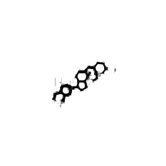 CC12CC=C3C=C4CCC(=O)C[C@]45CC[C@]3(O5)C1CCC2c1ccc2ccncc2c1